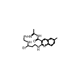 CCC(CCNc1nc2ccc(C)cc2cc1C(=O)NC(C)=N)NCC(C)C